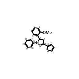 COc1ccccc1C1CC(c2cccs2)=NN1c1ccccc1